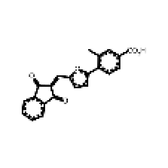 Cc1cc(C(=O)O)ccc1-c1ccc(C=C2C(=O)c3ccccc3C2=O)o1